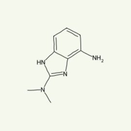 CN(C)c1nc2c(N)cccc2[nH]1